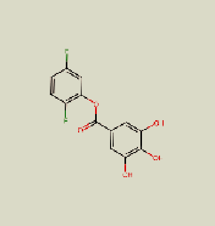 O=C(Oc1cc(F)ccc1F)c1cc(O)c(O)c(O)c1